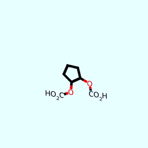 O=C(O)OC1CCCC1OC(=O)O